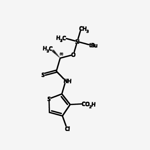 C[C@H](O[Si](C)(C)C(C)(C)C)C(=S)Nc1scc(Cl)c1C(=O)O